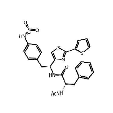 CC(=O)N[C@@H](Cc1ccccc1)C(=O)N[C@@H](Cc1ccc(N[SH](=O)=O)cc1)c1csc(-c2cccs2)n1